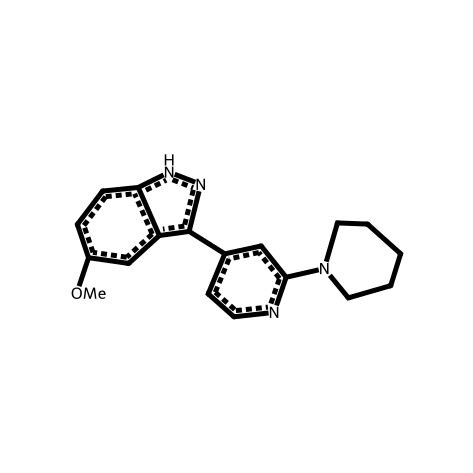 COc1ccc2[nH]nc(-c3ccnc(N4CCCCC4)c3)c2c1